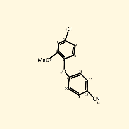 COc1cc(Cl)ccc1Oc1ccc(C#N)cc1